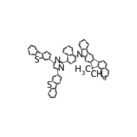 CC1(C)c2cc3c(cc2-c2ccc4ccccc4c21)c1ccccc1n3-c1ccc(-c2nc(-c3ccc4c(c3)sc3ccccc34)cc(-c3ccc4c(c3)sc3ccccc34)n2)c2ccccc12